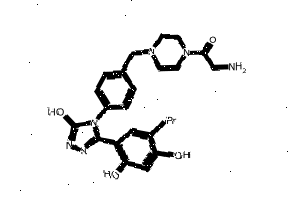 CC(C)c1cc(-c2nnc(O)n2-c2ccc(CN3CCN(C(=O)CN)CC3)cc2)c(O)cc1O